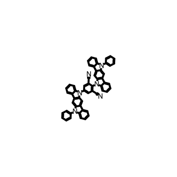 N#Cc1cc(-n2c3ccccc3c3cc4c(cc32)c2ccccc2n4-c2ccccc2)cc(C#N)c1-n1c2ccccc2c2cc3c(cc21)c1ccccc1n3-c1ccccc1